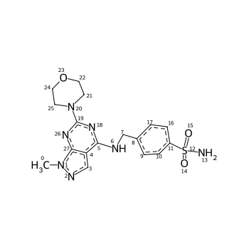 Cn1ncc2c(NCc3ccc(S(N)(=O)=O)cc3)nc(N3CCOCC3)nc21